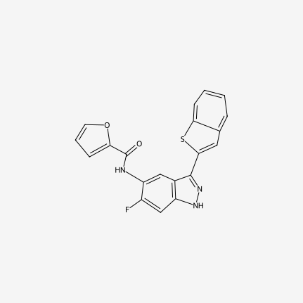 O=C(Nc1cc2c(-c3cc4ccccc4s3)n[nH]c2cc1F)c1ccco1